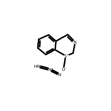 [N-]=[N+]=N.[O-][S+]1CN=Cc2ccccc21